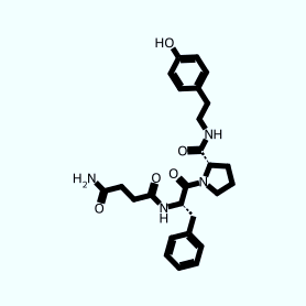 NC(=O)CCC(=O)N[C@@H](Cc1ccccc1)C(=O)N1CCC[C@H]1C(=O)NCCc1ccc(O)cc1